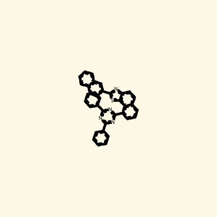 c1ccc(-c2nc(-c3ccccc3)nc(-c3cccc4ccc5nc(-c6ccc7ccccc7c6)sc5c34)n2)cc1